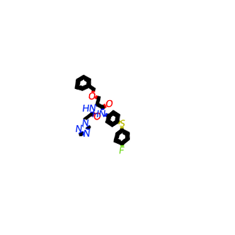 O=C(Cn1cncn1)NC(COCc1ccccc1)C(=O)Nc1ccc(Sc2ccc(F)cc2)cc1